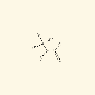 O=C(Cl)C(Br)C(F)(F)F